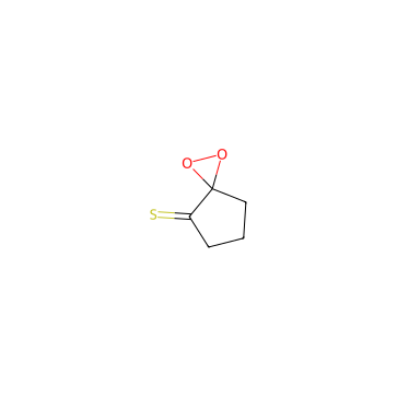 S=C1CCCC12OO2